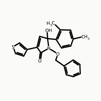 Cc1ccc(C2(O)C=C(c3ccsc3)C(=O)N2OCc2ccccc2)c(C)c1